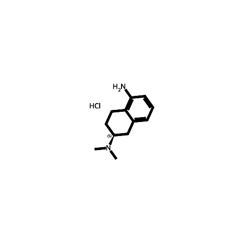 CN(C)[C@H]1CCc2c(N)cccc2C1.Cl